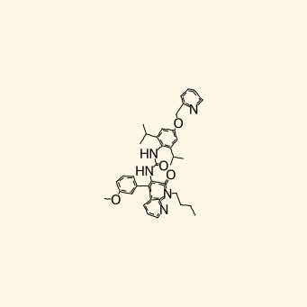 CCCCn1c(=O)c(NC(=O)Nc2c(C(C)C)cc(OCc3ccccn3)cc2C(C)C)c(-c2cccc(OC)c2)c2cccnc21